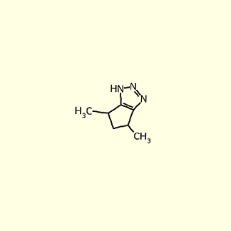 CC1CC(C)c2[nH]nnc21